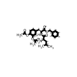 CC(=O)Oc1ccc(C[C@H](NC(=O)[C@@H](N)CC(C)C)C(=O)OCc2ccccc2)cc1OC(C)=O